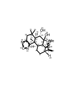 C=C1C(=O)[C@]23[C@H](C)[C@H]1CC[C@H]2[C@]1(C)c2nonc2CC(C)(C)[C@H]1[C@H](O)[C@@]3(O)OC